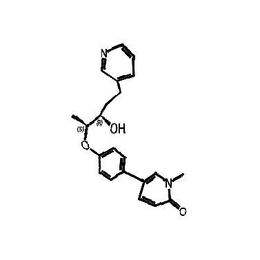 C[C@H](Oc1ccc(-c2ccc(=O)n(C)c2)cc1)[C@H](O)CCc1cccnc1